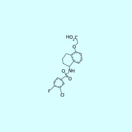 O=C(O)COc1cccc2c1CCCC2NS(=O)(=O)c1ccc(F)c(Cl)c1